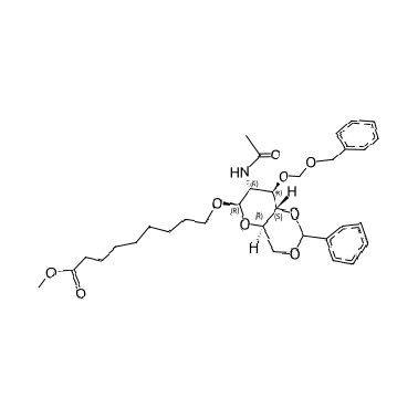 COC(=O)CCCCCCCCO[C@@H]1O[C@@H]2COC(c3ccccc3)O[C@H]2[C@H](OCOCc2ccccc2)[C@H]1NC(C)=O